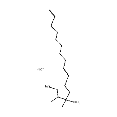 CCCCCCCCCCCCC(C)(N)C(C)CO.Cl